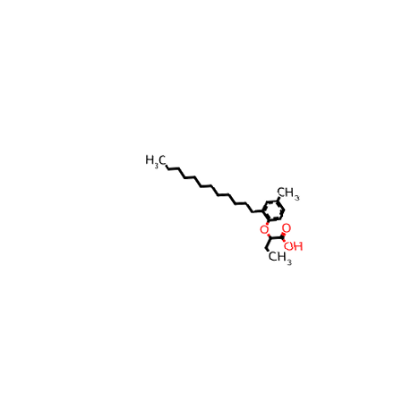 CCCCCCCCCCCCc1cc(C)ccc1OC(CC)C(=O)O